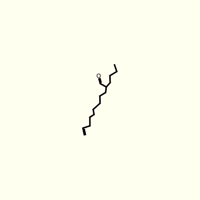 C=CCCCCCCCC(C=O)CCCC